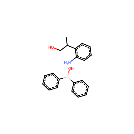 CC(CO)c1ccccc1N.OB(c1ccccc1)c1ccccc1